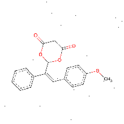 COc1ccc(C=C(c2ccccc2)C2OC(=O)CC(=O)O2)cc1